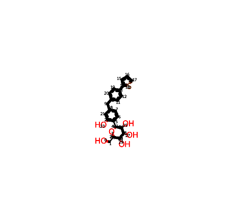 OC[C@H]1O[C@@H](c2ccc(Cc3ccc(-c4cccs4)cc3)cc2O)[C@H](O)[C@@H](O)[C@@H]1O